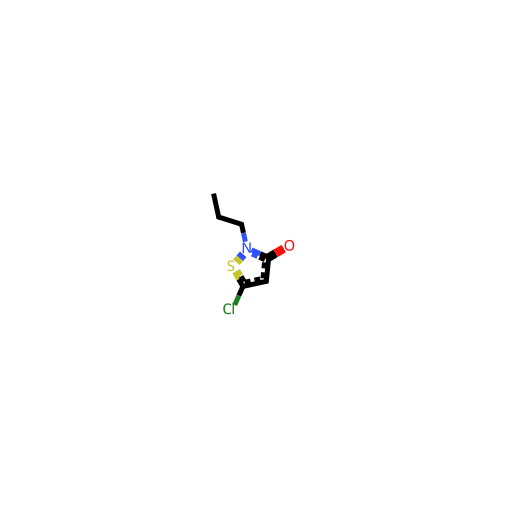 CCCn1sc(Cl)cc1=O